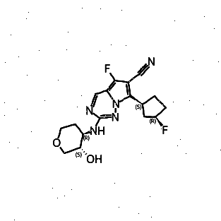 N#Cc1c(F)c2cnc(N[C@@H]3CCOC[C@H]3O)nn2c1[C@H]1CC[C@@H](F)C1